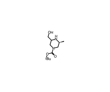 C[C@H]1CN(C(=O)OC(C)(C)C)CC(CO)N1